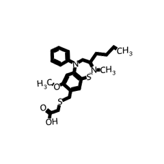 CCCCC1CN(c2ccccc2)c2cc(OC)c(CSCC(=O)O)cc2SN1C